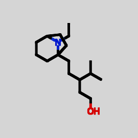 CCN1C2CCCC1(CCC(CCO)C(C)C)CC2